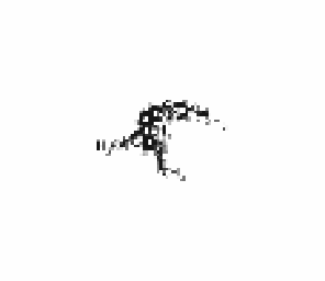 C=CCOC1CCN(S(=O)(=O)N2CCc3ccc(C(CC(=O)OCC)c4ccc5c(nnn5C/C=C/C)c4C)cc3C2)CC1